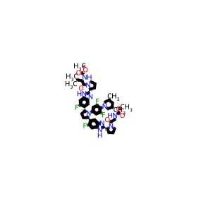 COC(=O)NCC(=O)N1CCC[C@H]1c1nc2cc([C@H]3CC[C@H](c4cc5nc([C@@H]6CCCN6C(=O)C(NC(=O)OC)C(C)C)[nH]c5cc4F)N3c3cc(F)c(N4CC(C)CC(C)C4)c(F)c3)c(F)cc2[nH]1